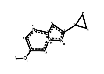 COc1cnc2cc(C3CC3)nn2c1